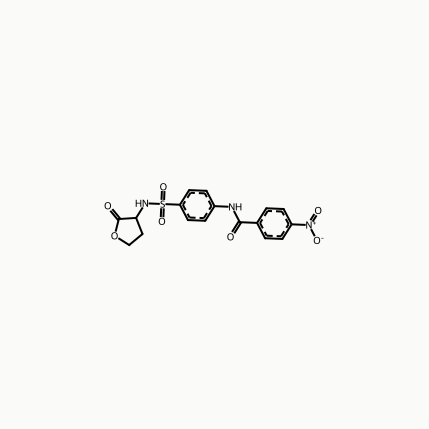 O=C(Nc1ccc(S(=O)(=O)NC2CCOC2=O)cc1)c1ccc([N+](=O)[O-])cc1